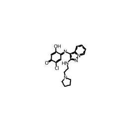 O=C1C=C(O)/C(=N/c2c(NCCN3CCCC3)nn3ccccc23)C=C1Cl